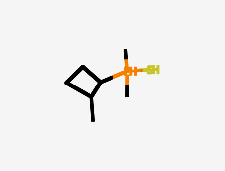 CC1CCC1[PH](C)(C)S